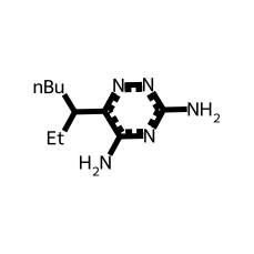 CCCCC(CC)c1nnc(N)nc1N